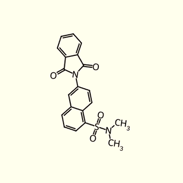 CN(C)S(=O)(=O)c1cccc2cc(N3C(=O)c4ccccc4C3=O)ccc12